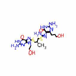 CC(CS/C(N)=N/c1c(CCCO)nc(N)[nH]c1=O)CSc1nc2c(=O)[nH]c(N)nc2n1CCO